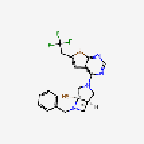 FC(F)(F)Cc1cc2c(N3C[C@H]4CN(Cc5ccccc5)[C@@]4(S)C3)ncnc2s1